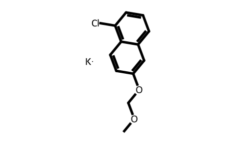 COCOc1ccc2c(Cl)cccc2c1.[K]